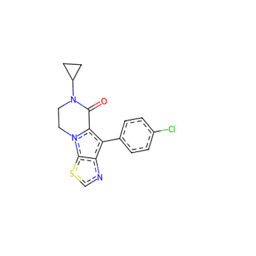 O=C1c2c(-c3ccc(Cl)cc3)c3ncsc3n2CCN1C1CC1